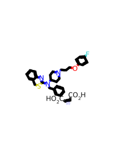 Fc1ccc(OCCCN2CCC(N(Cc3ccccc3)C3=Nc4ccccc4CS3)CC2)cc1.O=C(O)/C=C\C(=O)O